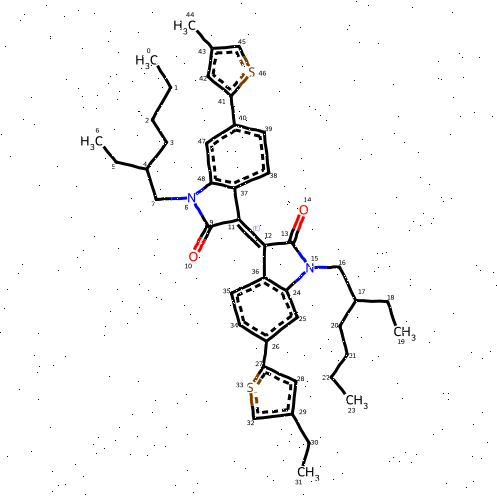 CCCCC(CC)CN1C(=O)/C(=C2/C(=O)N(CC(CC)CCCC)c3cc(-c4cc(CC)cs4)ccc32)c2ccc(-c3cc(C)cs3)cc21